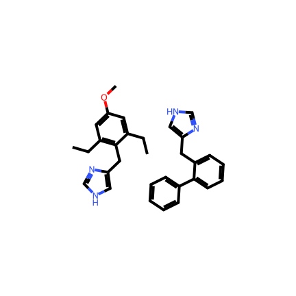 CCc1cc(OC)cc(CC)c1Cc1c[nH]cn1.c1ccc(-c2ccccc2Cc2c[nH]cn2)cc1